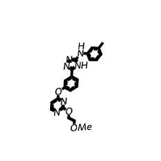 COCCOc1nccc(Oc2cccc(-c3nnc(Nc4cccc(C)c4)[nH]3)c2)n1